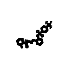 Cc1cccnc1C(=O)N/N=C/c1ccccc1OS(=O)(=O)c1ccc(C(F)(F)F)cc1